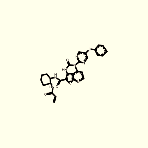 C=CC(=O)NC1CCCCC1NC(=O)c1sc2nccc3c2c1NC(=O)N3c1ncc(Oc2ccccc2)cn1